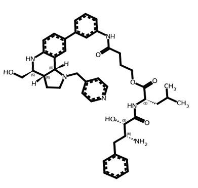 CC(C)C[C@H](NC(=O)[C@@H](O)[C@H](N)Cc1ccccc1)C(=O)OCCCC(=O)Nc1cccc(-c2ccc3c(c2)[C@H]2[C@H](CCN2Cc2ccncc2)[C@@H](CO)N3)c1